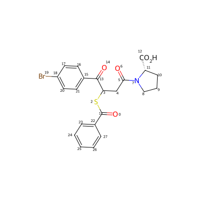 O=C(SC(CC(=O)N1CCC[C@H]1C(=O)O)C(=O)c1ccc(Br)cc1)c1ccccc1